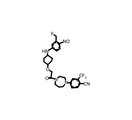 N#Cc1ccc(N2CCCN(C(=O)COC3CCC(Nc4ccc(N=O)c(CF)c4)CC3)CC2)cc1C(F)(F)F